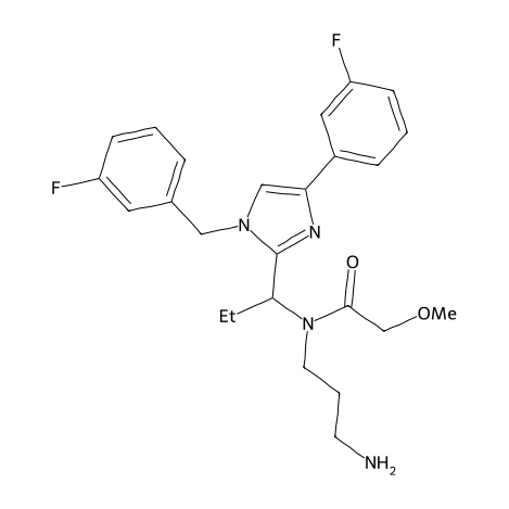 CCC(c1nc(-c2cccc(F)c2)cn1Cc1cccc(F)c1)N(CCCN)C(=O)COC